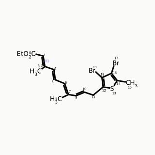 CCOC(=O)/C=C(\C)C=CC=C(C)C=CCc1sc(C)c(Br)c1Br